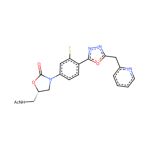 CC(=O)NC[C@H]1CN(c2ccc(-c3nnc(Cc4ccccn4)o3)c(F)c2)C(=O)O1